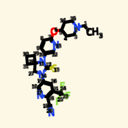 CCN1CCC(Oc2ccc(N3C(=S)N(c4cnc(C#N)c(C(F)(F)F)c4)CC34CCC4)cn2)CC1